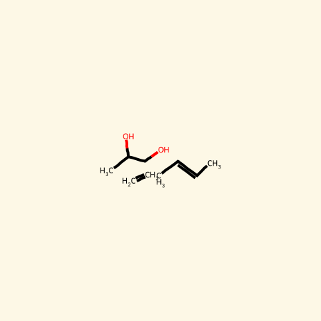 C=C.CC(O)CO.CC=CC